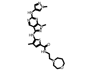 Cc1cc(C(=O)NCCN2CCCOCC2)sc1Nc1nn(C)c2nc(Nc3cnn(C)c3)ncc12